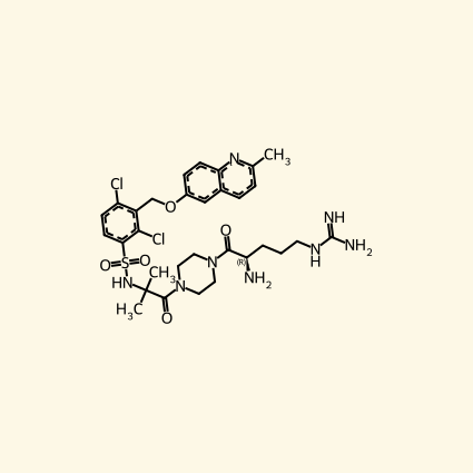 Cc1ccc2cc(OCc3c(Cl)ccc(S(=O)(=O)NC(C)(C)C(=O)N4CCN(C(=O)[C@H](N)CCCNC(=N)N)CC4)c3Cl)ccc2n1